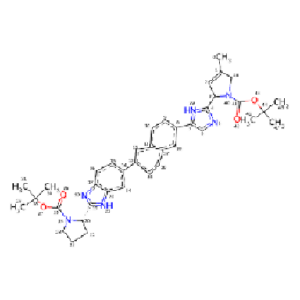 CC1=CC(c2ncc(-c3ccc4cc(-c5ccc6nc([C@@H]7CCCN7C(=O)OC(C)(C)C)[nH]c6c5)ccc4c3)[nH]2)N(C(=O)OC(C)(C)C)C1